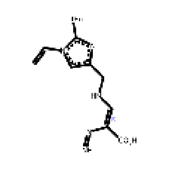 C=Cn1cc(CN/C=C(\N=N)C(=O)O)nc1C(C)(C)C